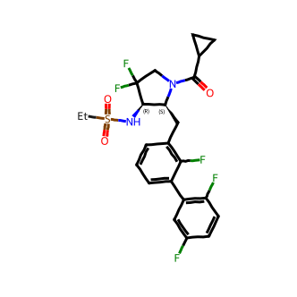 CCS(=O)(=O)N[C@@H]1[C@H](Cc2cccc(-c3cc(F)ccc3F)c2F)N(C(=O)C2CC2)CC1(F)F